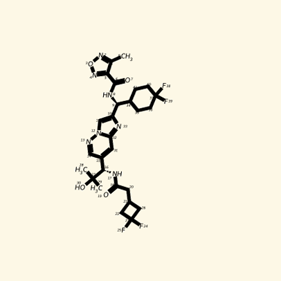 Cc1nonc1C(=O)N[C@H](c1cn2ncc([C@H](NC(=O)CC3CC(F)(F)C3)C(C)(C)O)cc2n1)C1CCC(F)(F)CC1